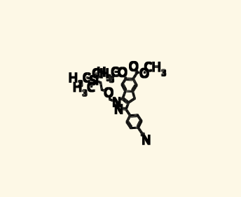 COC(=O)c1cc2c(cc1OC)-c1c(c(-c3ccc(C#N)cc3)nn1COCC[Si](C)(C)C)C2